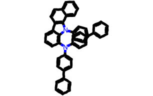 c1ccc(-c2ccc(N(c3ccc(-c4ccccc4)cc3)c3cccc4c5ccc6ccccc6c5n(-c5ccccc5)c34)cc2)cc1